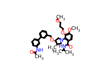 COCCCOc1c(OC)ccc(C(=O)NC(C)C)c1N1C[C@H](C)[C@H](OCc2cccc(-c3cccc(NC(C)=O)c3)c2)C1